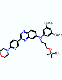 COc1cc(OC)cc(N(CCCO[Si](C)(C)C(C)(C)C)c2ccc3ncc(-c4ccc(N5CCOCC5)nc4)nc3c2)c1